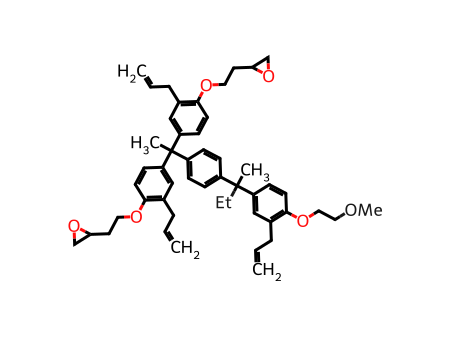 C=CCc1cc(C(C)(CC)c2ccc(C(C)(c3ccc(OCCC4CO4)c(CC=C)c3)c3ccc(OCCC4CO4)c(CC=C)c3)cc2)ccc1OCCOC